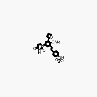 COc1c(C=Cc2ccc(NS(C)(=O)=O)cc2)cc(-n2ccc(=O)[nH]c2=O)cc1-c1ccco1